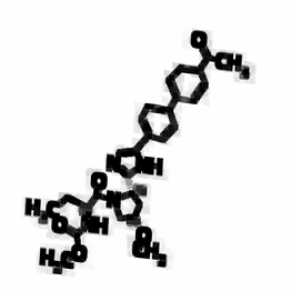 CC[C@H](NC(=O)OC)C(=O)N1C[C@@H](OC)C[C@H]1c1ncc(-c2ccc(-c3ccc(C(C)=O)cc3)cc2)[nH]1